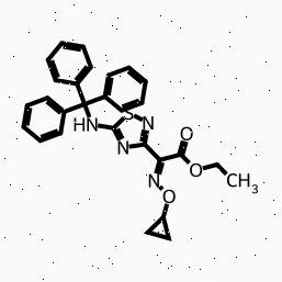 CCOC(=O)/C(=N\OC1CC1)c1nsc(NC(c2ccccc2)(c2ccccc2)c2ccccc2)n1